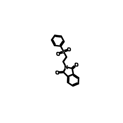 O=C1c2ccccc2C(=O)N1CCS(=O)(=O)c1ccccc1